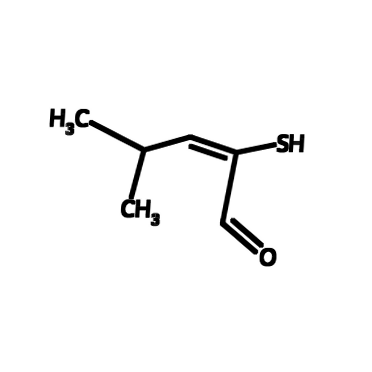 CC(C)/C=C(/S)C=O